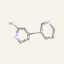 N#Cc1cc(-c2cccnc2)ccn1